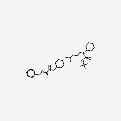 CC(C)(C)OC(=O)N(CCCNC[C@H]1CC[C@H](CNC(=O)OCc2ccccc2)CC1)C1CCCCC1